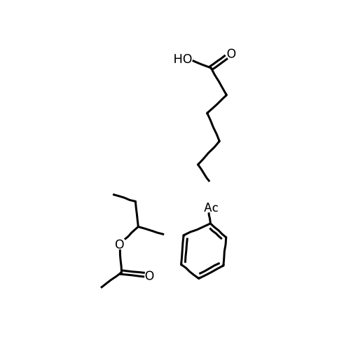 CC(=O)c1ccccc1.CCC(C)OC(C)=O.CCCCCC(=O)O